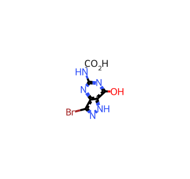 O=C(O)Nc1nc(O)c2[nH]nc(Br)c2n1